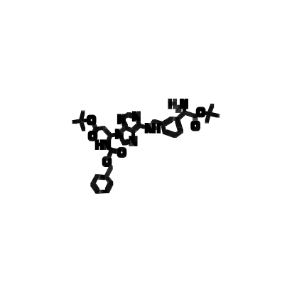 CC(C)(C)OC(=O)CC(NC(=O)OCc1ccccc1)n1cnc2c(NCc3cccc(C(N)C(=O)OC(C)(C)C)c3)ncnc21